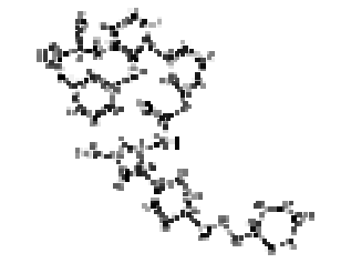 CC(C)(C)c1cc(NC(=O)Cc2cccc(-c3cccc(N(C(N)=O)c4c(F)cccc4F)n3)c2)n(-c2ccc(OCCN3CCOCC3)cc2)n1